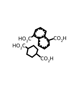 O=C(O)C1CCC(C(=O)O)CC1.O=C(O)c1cccc2c(C(=O)O)cccc12